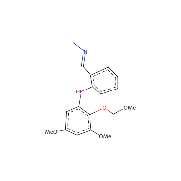 C/N=C/c1ccccc1Pc1cc(OC)cc(OC)c1OCOC